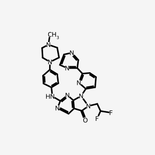 CN1CCN(c2ccc(Nc3ncc4c(=O)n(CC(F)F)n(-c5cccc(-c6cnccn6)n5)c4n3)cc2)CC1